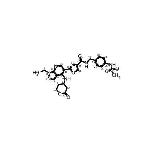 CCn1ncc2c(NC3CCOC(=O)C3)c(-c3nc(C(=O)NCc4ccc(NS(C)(=O)=O)cc4)co3)cnc21